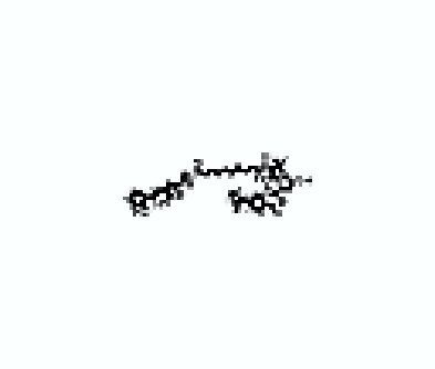 Cc1ncsc1-c1ccc([C@H](C)NC(=O)[C@@H]2C[C@@H](O)CN2C(=O)C(NC(=O)CCCCCCCCC(=O)N2CC(c3cc4cc(-c5ccccc5O)nnc4[nH]3)C2)C(C)(C)C)cc1